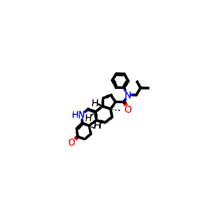 CC(C)CN(C(=O)C1CC[C@H]2[C@@H]3CNC4=CC(=O)CC[C@]4(C)[C@@H]3CC[C@]12C)c1ccccc1